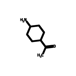 CC(=O)C1CCC(N)CC1